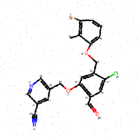 Cc1c(Br)cccc1OCc1cc(OCc2cncc(C#N)c2)c(C=O)cc1Cl